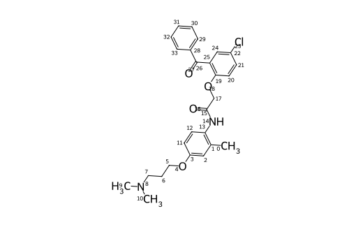 Cc1cc(OCCCN(C)C)ccc1NC(=O)COc1ccc(Cl)cc1C(=O)c1ccccc1